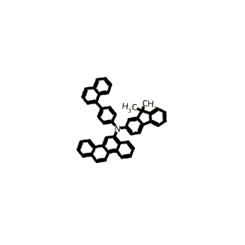 CC1(C)c2ccccc2-c2ccc(N(c3ccc(-c4cccc5ccccc45)cc3)c3cc4c5ccccc5ccc4c4ccccc34)cc21